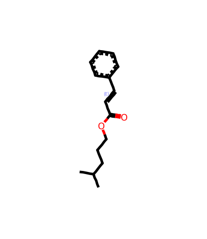 CC(C)CCCOC(=O)/C=C/c1ccccc1